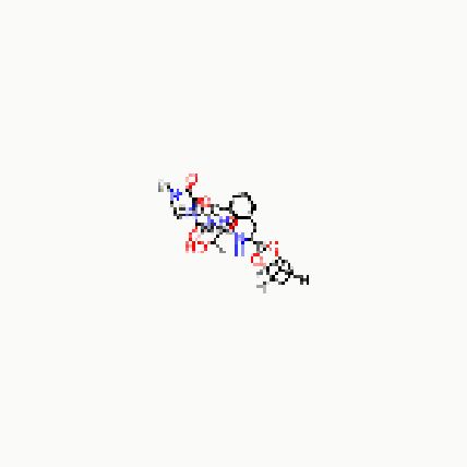 CCOC(=O)c1cccc(C[C@H](NC(=O)[C@H](NC(=O)N2CCN(CC)C(=O)C2=O)[C@@H](C)O)B2OC3C[C@@H]4C[C@@H](C4(C)C)[C@]3(C)O2)c1OC